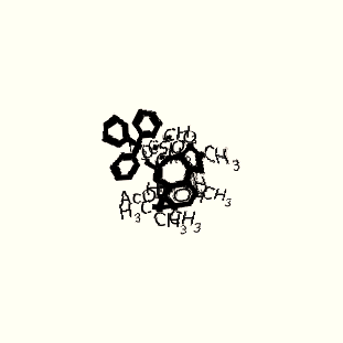 CC(=O)OC12[C@@H]3C=C(COC(c4ccccc4)(c4ccccc4)c4ccccc4)C[C@]4(O[Si](C)(C)C)C(=O)C(C)=C[C@H]4[C@@]3(O)[C@H](C)CC1(C)C2(C)C